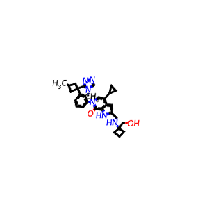 CC1CC(c2cccc(-n3cc(C4CC4)c4cc(CNC5(CO)CCC5)[nH]c4c3=O)c2)(c2nncn2C)C1